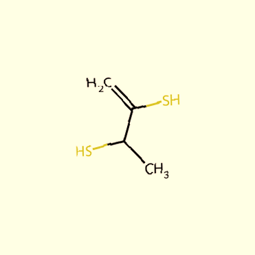 C=C(S)C(C)S